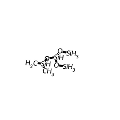 C[SiH](C)O[SiH](O[SiH3])O[SiH3]